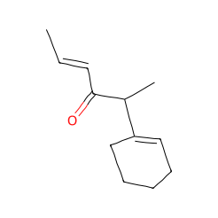 CC=CC(=O)C(C)C1=CCCCC1